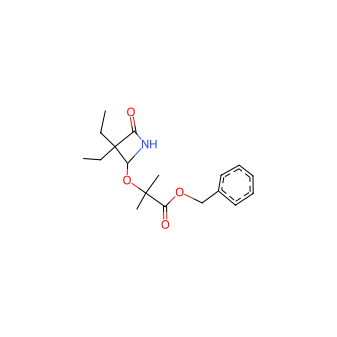 CCC1(CC)C(=O)NC1OC(C)(C)C(=O)OCc1ccccc1